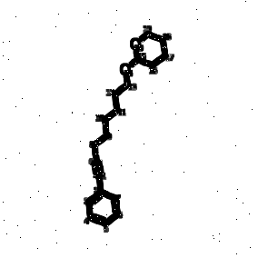 C(#Cc1ccccc1)CCCCCCOC1CCCCO1